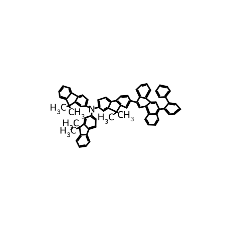 CC1(C)c2ccccc2-c2ccc(N(c3ccc4c(c3)C(C)(C)c3ccccc3-4)c3ccc4c(c3)C(C)(C)c3cc(-c5cc6c7ccccc7c(-c7ccccc7-c7ccccc7)cc6c6ccccc56)ccc3-4)cc21